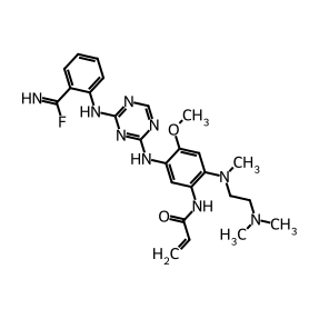 C=CC(=O)Nc1cc(Nc2ncnc(Nc3ccccc3C(=N)F)n2)c(OC)cc1N(C)CCN(C)C